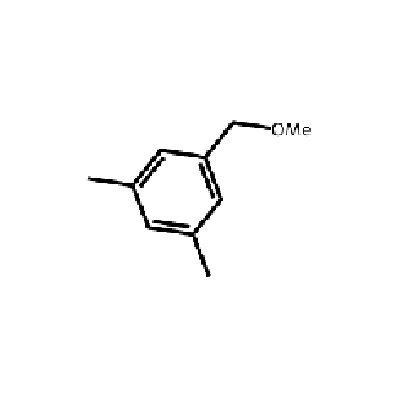 COCc1cc(C)cc(C)c1